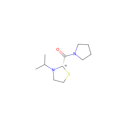 CC(C)N1CCS[C@H]1C(=O)N1CCCC1